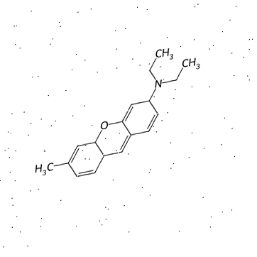 CCN(CC)C1C=CC2=CC3C=CC(C)=CC3OC2=C1